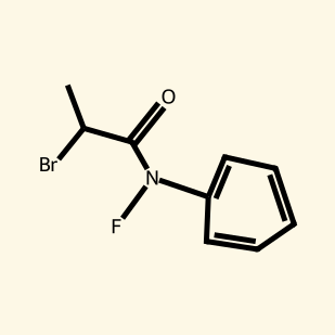 CC(Br)C(=O)N(F)c1ccccc1